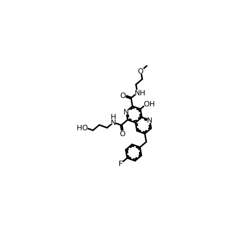 COCCNC(=O)c1nc(C(=O)NCCCO)c2cc(Cc3ccc(F)cc3)cnc2c1O